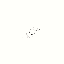 C=C(CCCNC)C(CC(C)(C)C)C(C)(C)C